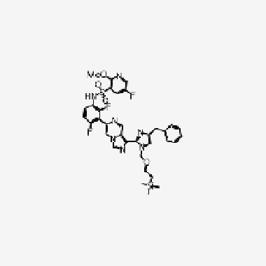 COc1ncc(F)cc1S(=O)(=O)Nc1ccc(F)c(-c2cn3cnc(-c4nc(Cc5ccccc5)cn4COCC[Si](C)(C)C)c3cn2)c1F